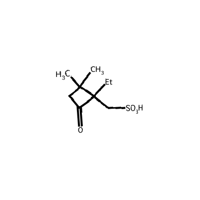 CCC1(CS(=O)(=O)O)C(=O)CC1(C)C